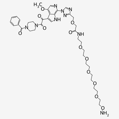 COc1cnc(-n2cnc(COCC(=O)NCCOCCOCCOCCOCCOCCON)n2)c2[nH]cc(C(=O)C(=O)N3CCN(C(=O)c4ccccc4)CC3)c12